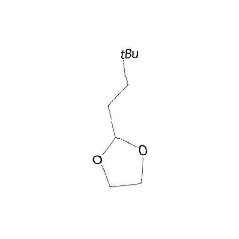 CC(C)(C)CCC1OCCO1